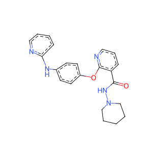 O=C(NN1CCCCC1)c1cccnc1Oc1ccc(Nc2ccccn2)cc1